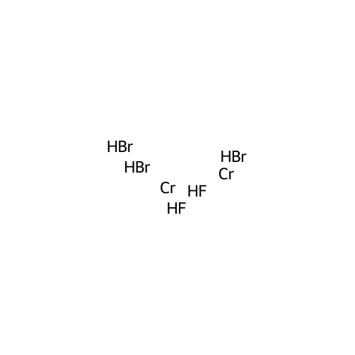 Br.Br.Br.F.F.[Cr].[Cr]